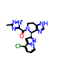 Cc1nc(C(=O)N2CCc3[nH]cnc3[C@H]2c2cc3c(Cl)cccn3n2)n(C)n1